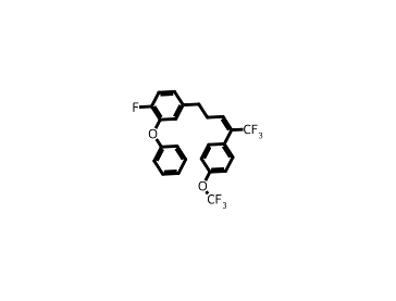 Fc1ccc(CCC=C(c2ccc(OC(F)(F)F)cc2)C(F)(F)F)cc1Oc1ccccc1